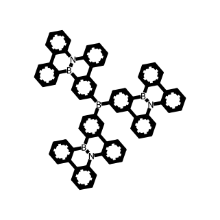 c1ccc2c(c1)B1c3ccc(B(c4ccc5c(c4)-c4ccccc4N4B5c5ccccc5-c5ccccc54)c4ccc5c(c4)-c4ccccc4N4B5c5ccccc5-c5ccccc54)cc3-c3ccccc3N1c1ccccc1-2